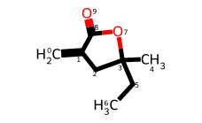 C=C1CC(C)(CC)OC1=O